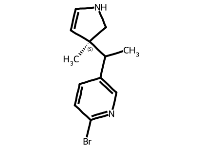 CC(c1ccc(Br)nc1)[C@@]1(C)C=CNC1